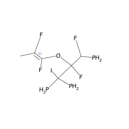 C/C(F)=C(\F)OC(F)(C(F)P)C(P)(P)I